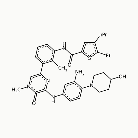 CCCc1cc(C(=O)Nc2cccc(-c3cn(C)c(=O)c(Nc4ccc(N5CCC(O)CC5)c(N)c4)n3)c2C)sc1CC